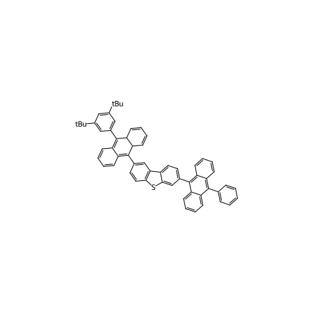 CC(C)(C)c1cc(C2=c3ccccc3=C(c3ccc4sc5cc(-c6c7ccccc7c(-c7ccccc7)c7ccccc67)ccc5c4c3)C3C=CC=CC23)cc(C(C)(C)C)c1